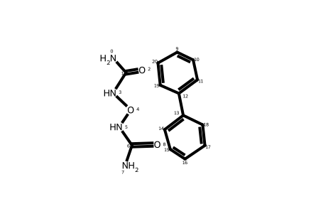 NC(=O)NONC(N)=O.c1ccc(-c2ccccc2)cc1